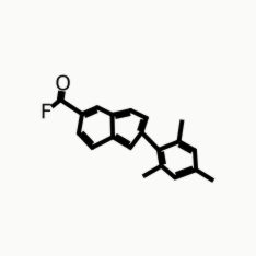 Cc1cc(C)c(-c2ccc3cc(C(=O)F)ccc3c2)c(C)c1